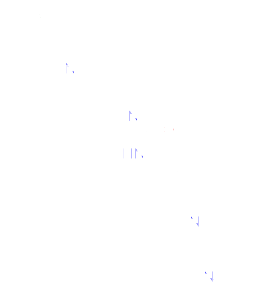 CN(C)C1CCN(c2ccc(NC(=O)N3CC=C(c4ccc(Cl)cn4)CC3)cc2)C1